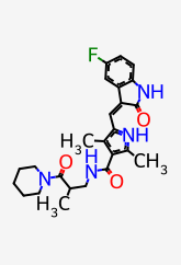 Cc1[nH]c(/C=C2\C(=O)Nc3ccc(F)cc32)c(C)c1C(=O)NCC(C)C(=O)N1CCCCC1